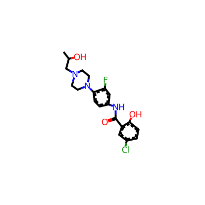 CC(O)CN1CCN(c2ccc(NC(=O)c3cc(Cl)ccc3O)cc2F)CC1